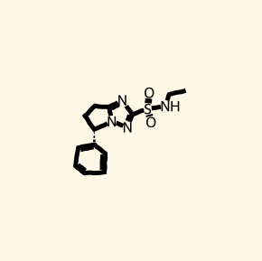 CCNS(=O)(=O)c1nc2n(n1)[C@H](c1ccccc1)CC2